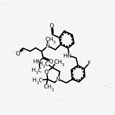 CNC(=O)C(CCC=O)N(C)Cc1c(C=O)cccc1NCc1cc(CN2CC(C)(C)OC(C)(C)C2)ccc1F